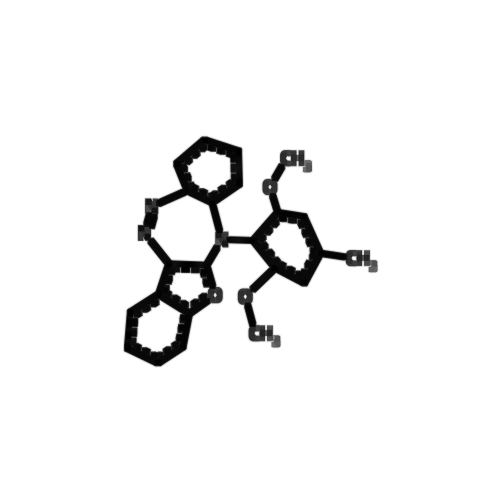 COc1cc(C)cc(OC)c1N1c2ccccc2N=Nc2c1oc1ccccc21